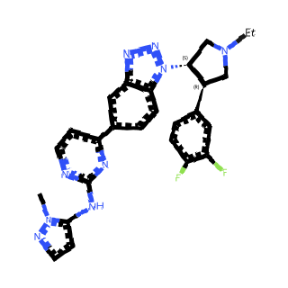 CCN1C[C@@H](n2nnc3cc(-c4ccnc(Nc5ccnn5C)n4)ccc32)[C@H](c2ccc(F)c(F)c2)C1